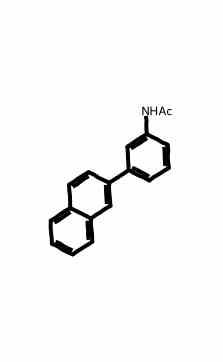 CC(=O)Nc1cccc(-c2ccc3ccccc3c2)c1